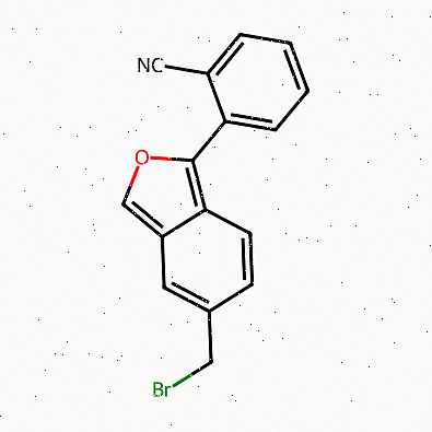 N#Cc1ccccc1-c1occ2cc(CBr)ccc12